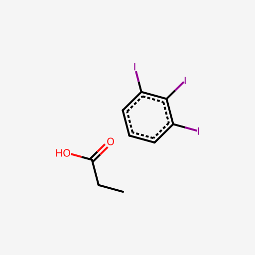 CCC(=O)O.Ic1cccc(I)c1I